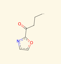 [CH2]CCC(=O)c1ncco1